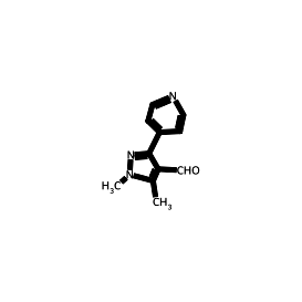 Cc1c(C=O)c(-c2ccncc2)nn1C